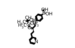 CC(C)(C)[Si](C)(C)O[C@H](CCc1cccnc1)COc1ccc(B(O)O)cc1